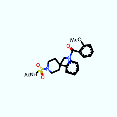 COc1ccccc1C(=O)NCC1(c2ccccc2)CCN(S(=O)(=O)NC(C)=O)CC1